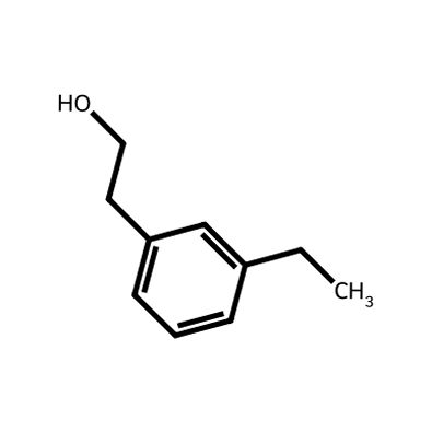 CCc1cccc(CCO)c1